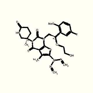 C=NN(N=C)c1sc2c(c1C)c(=O)n([C@]1(C)CCC(=O)NC1)c(=O)n2C[C@H](OCCO)c1cc(F)ccc1OC